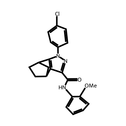 COc1ccccc1NC(=O)c1nn(-c2ccc(Cl)cc2)c2c1C1CCC2C1